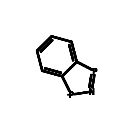 c1ccc2c(c1)[P]N=P2